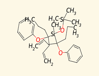 C=CCC(CCC)(Oc1ccccc1)[Si](C)(O[Si](C)(C)C)C(CC=C)(CCC)Oc1ccccc1